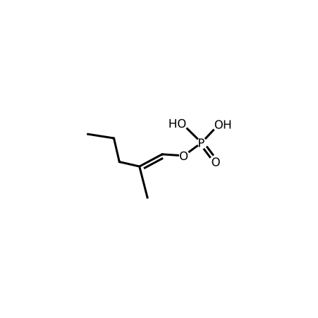 CCCC(C)=COP(=O)(O)O